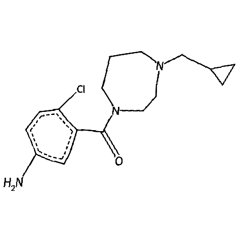 Nc1ccc(Cl)c(C(=O)N2CCCN(CC3CC3)CC2)c1